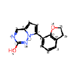 Oc1ncc2ccc(-c3cccc4c3OCC4)n2n1